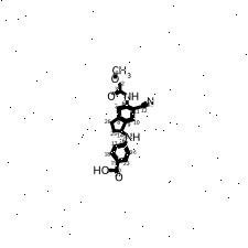 COCC(=O)Nc1cc2c(cc1C#N)C(Nc1ccc(C(=O)O)cc1)CC2